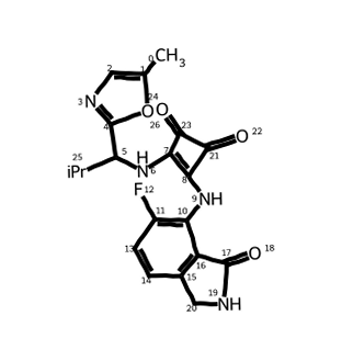 Cc1cnc(C(Nc2c(Nc3c(F)ccc4c3C(=O)NC4)c(=O)c2=O)C(C)C)o1